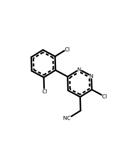 N#CCc1cc(-c2c(Cl)cccc2Cl)nnc1Cl